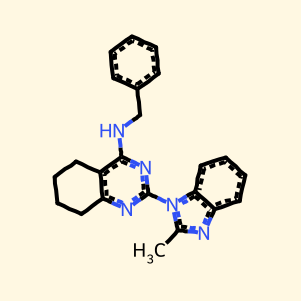 Cc1nc2ccccc2n1-c1nc2c(c(NCc3ccccc3)n1)CCCC2